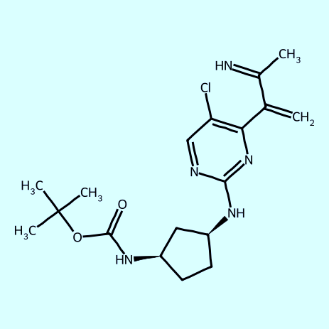 C=C(C(C)=N)c1nc(N[C@H]2CC[C@@H](NC(=O)OC(C)(C)C)C2)ncc1Cl